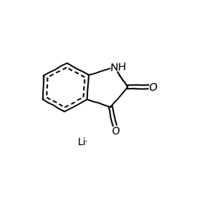 O=C1Nc2ccccc2C1=O.[Li]